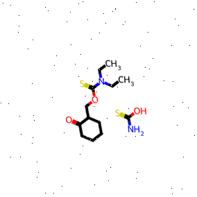 CCN(CC)C(=S)OCC1CCCCC1=O.NC(O)=S